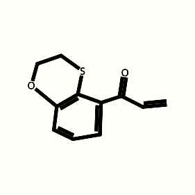 C=CC(=O)c1cccc2c1SCCO2